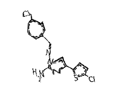 Nc1nc(-c2ccc(Cl)s2)cn1N=Cc1ccc(Cl)cc1